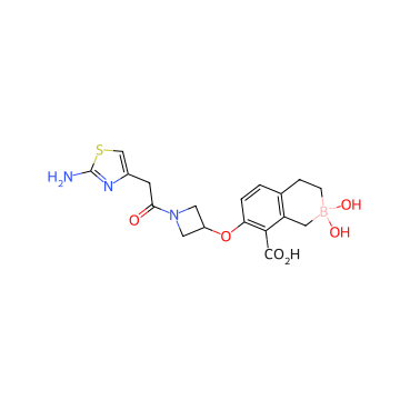 Nc1nc(CC(=O)N2CC(Oc3ccc4c(c3C(=O)O)C[B-](O)(O)CC4)C2)cs1